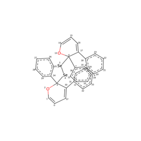 C1=COC([Se][Se]C2(c3ccccc3)OC=CC=C2c2ccccc2)(c2ccccc2)C(c2ccccc2)=C1